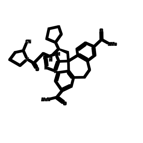 CNC(=O)c1ccc2c(c1)CCc1cc(C(=O)NC)ccc1C2(C[C@@H](NCC(=O)N1CCCC1C#N)C1CCCC1)c1nnn[nH]1